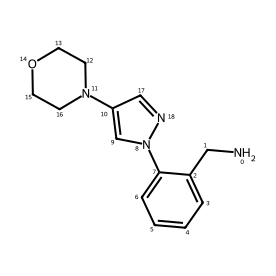 NCc1ccccc1-n1cc(N2CCOCC2)cn1